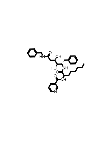 CCCCCCC(NC(=O)c1cccnc1)C(=O)N[C@@H](Cc1ccccc1)[C@@H](O)[C@H](O)CC(=O)NCc1ccccc1